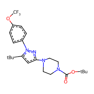 CC(C)(C)OC(=O)N1CCN(c2cc(C(C)(C)C)n(-c3ccc(OC(F)(F)F)cc3)n2)CC1